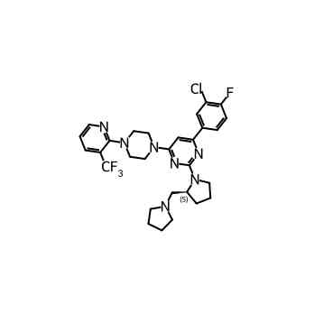 Fc1ccc(-c2cc(N3CCN(c4ncccc4C(F)(F)F)CC3)nc(N3CCC[C@H]3CN3CCCC3)n2)cc1Cl